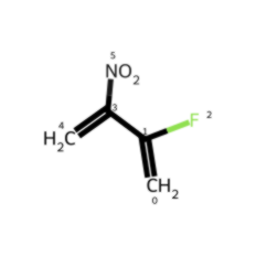 C=C(F)C(=C)[N+](=O)[O-]